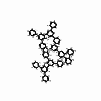 c1ccc(-c2cc(-c3ccccc3)c3sc4c(-c5ccc6c7ccc(-c8cc(-c9ccccc9)cc9c8sc8c(-c%10ccccc%10)cc(-c%10ccccc%10)cc89)cc7n(-c7cccc(-c8ccc9c%10ccccc%10c%10ccccc%10c9c8)c7)c6c5)cc(-c5ccccc5)cc4c3c2)cc1